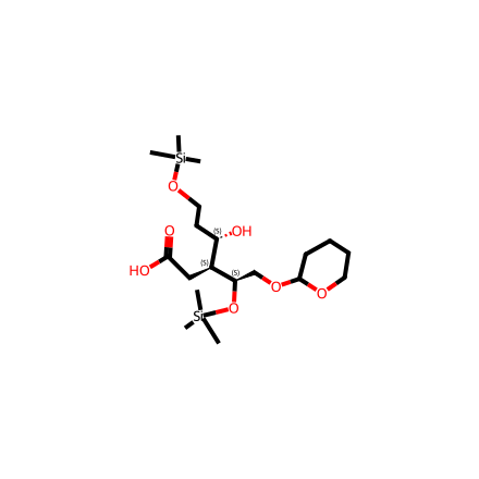 C[Si](C)(C)OCC[C@H](O)[C@H](CC(=O)O)[C@@H](COC1CCCCO1)O[Si](C)(C)C